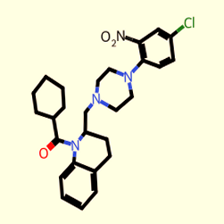 O=C(C1CCCCC1)N1c2ccccc2CCC1CN1CCN(c2ccc(Cl)cc2[N+](=O)[O-])CC1